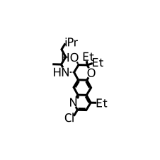 CCc1cc(Cl)nc2cc3c(cc12)OC(CC)(CC)[C@H](O)[C@H]3NC(C)CCC(C)C